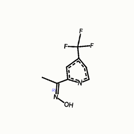 C/C(=N/O)c1cc(C(F)(F)F)ccn1